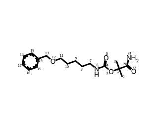 CC(C)(OC(=O)NCCC[CH]COCc1ccccc1)C(N)=O